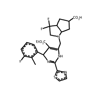 CCOC(=O)C1=C(CN2CC(F)(F)C3CC(C(=O)O)CC32)NC(c2nccs2)=NC1c1cccc(F)c1C